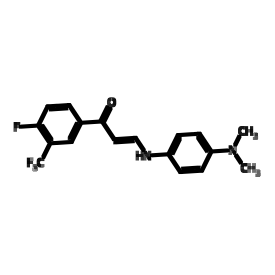 CN(C)c1ccc(NC=CC(=O)c2ccc(F)c(C(F)(F)F)c2)cc1